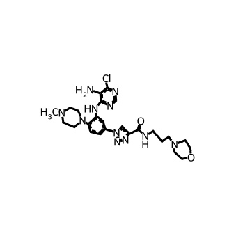 CN1CCN(c2ccc(-n3cc(C(=O)NCCCN4CCOCC4)nn3)cc2Nc2ncnc(Cl)c2N)CC1